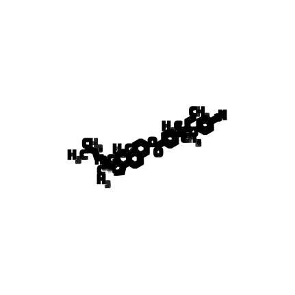 CCCC(Oc1ccc(C#N)cc1)[Si](C)(C)c1ccc(C(=O)OC2CC[C@@]3(C)C(=CCC4C3CC[C@@]3(C)C4CC[C@@H]3[C@H](C)CCCC(C)C)C2)cc1